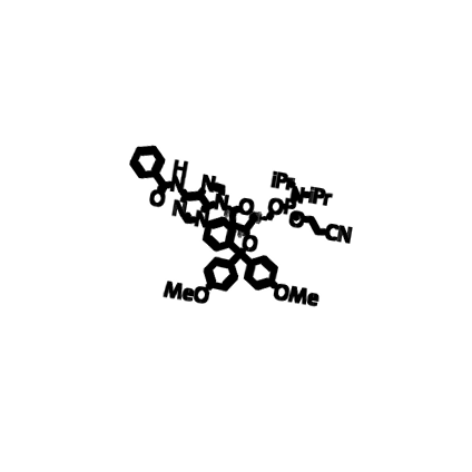 COc1ccc(C(O[C@H]2C[C@H](n3cnc4c(NC(=O)c5ccccc5)ncnc43)O[C@@H]2COP(OCCC#N)N(C(C)C)C(C)C)(c2ccccc2)c2ccc(OC)cc2)cc1